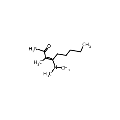 CCCCCC(=C(C)C(N)=O)N(C)C